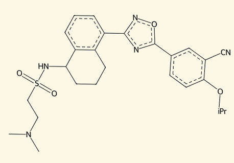 CC(C)Oc1ccc(-c2nc(-c3cccc4c3CCCC4NS(=O)(=O)CCN(C)C)no2)cc1C#N